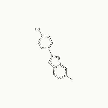 Cc1ccc2cn(-c3ccc(O)cc3)nc2c1